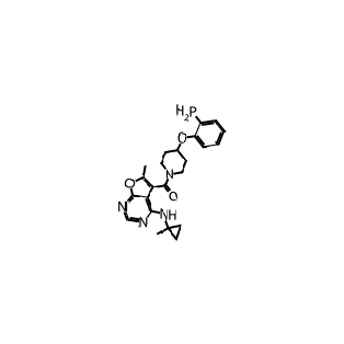 Cc1oc2ncnc(NC3(C)CC3)c2c1C(=O)N1CCC(Oc2ccccc2P)CC1